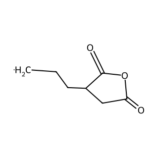 [CH2]CCC1CC(=O)OC1=O